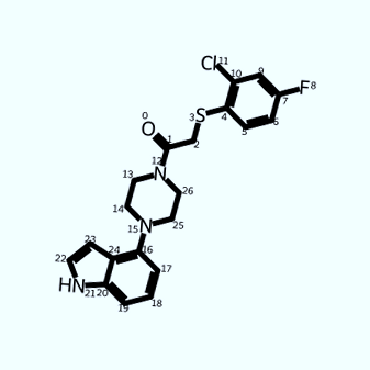 O=C(CSc1ccc(F)cc1Cl)N1CCN(c2cccc3[nH]ccc23)CC1